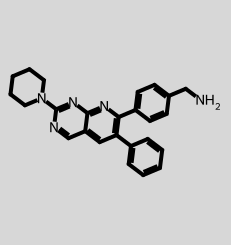 NCc1ccc(-c2nc3nc(N4CCCCC4)ncc3cc2-c2ccccc2)cc1